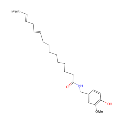 CCCCC/C=C/C/C=C/CCCCCCCCC(=O)NCc1ccc(O)c(OC)c1